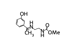 COC(=O)NCCN[C@@H](C)c1cccc(O)c1